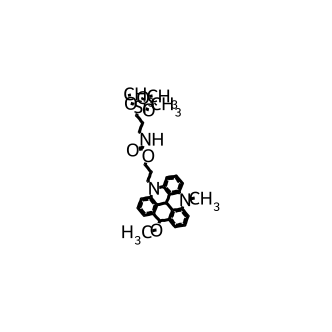 COC1c2cccc3c2C2c4c1cccc4N(CCCOC(=O)NCCC[Si](OC)(OC)OC)c1cccc(c12)N3C